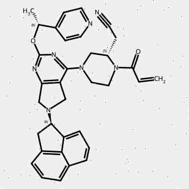 C=CC(=O)N1CCN(c2nc(O[C@H](C)c3ccncc3)nc3c2CN([C@@H]2Cc4cccc5cccc2c45)C3)C[C@@H]1CC#N